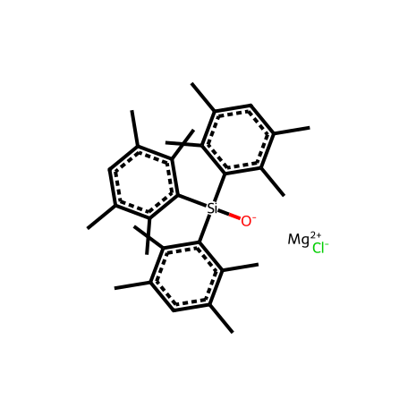 Cc1cc(C)c(C)c([Si]([O-])(c2c(C)c(C)cc(C)c2C)c2c(C)c(C)cc(C)c2C)c1C.[Cl-].[Mg+2]